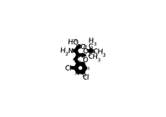 CC(C)(C)OC(=O)C(Cc1ccc(Cl)cc1Cl)C(N)C(=O)O